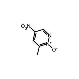 Cc1cc([N+](=O)[O-])cn[n+]1[O-]